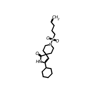 C=CCCCS(=O)(=O)N1CCC2(C=C(C3CCCCC3)NC2=O)CC1